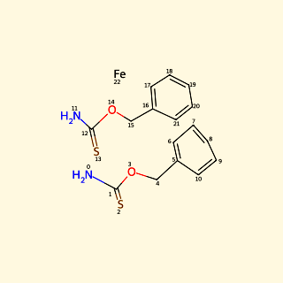 NC(=S)OCc1ccccc1.NC(=S)OCc1ccccc1.[Fe]